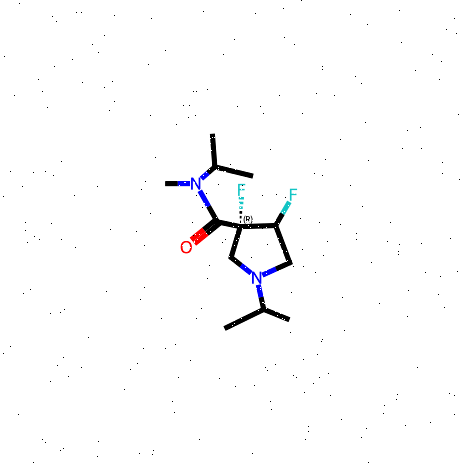 CC(C)N1CC(F)[C@](F)(C(=O)N(C)C(C)C)C1